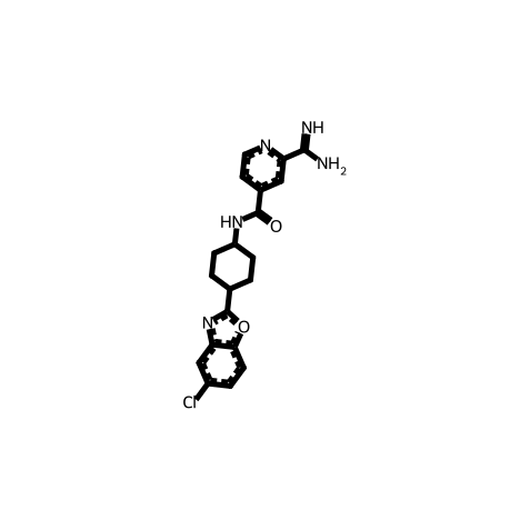 N=C(N)c1cc(C(=O)NC2CCC(c3nc4cc(Cl)ccc4o3)CC2)ccn1